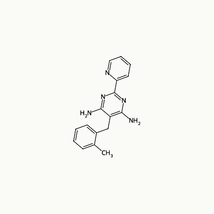 Cc1ccccc1Cc1c(N)nc(-c2ccccn2)nc1N